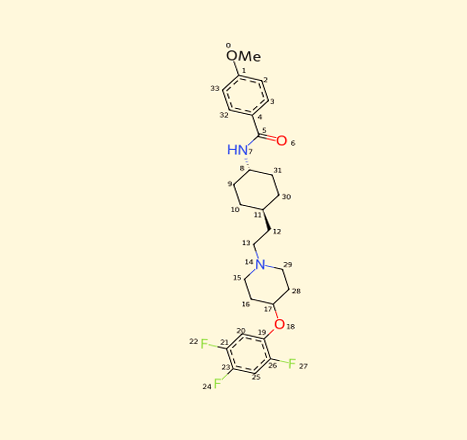 COc1ccc(C(=O)N[C@H]2CC[C@H](CCN3CCC(Oc4cc(F)c(F)cc4F)CC3)CC2)cc1